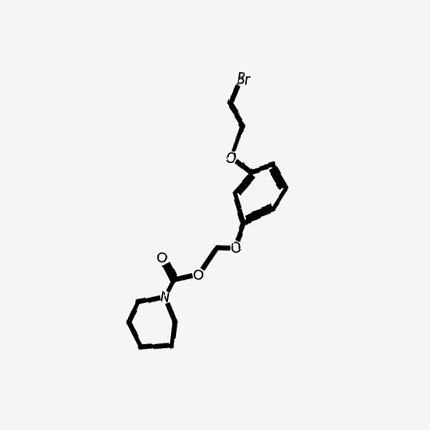 O=C(OCOc1cccc(OCCBr)c1)N1CCCCC1